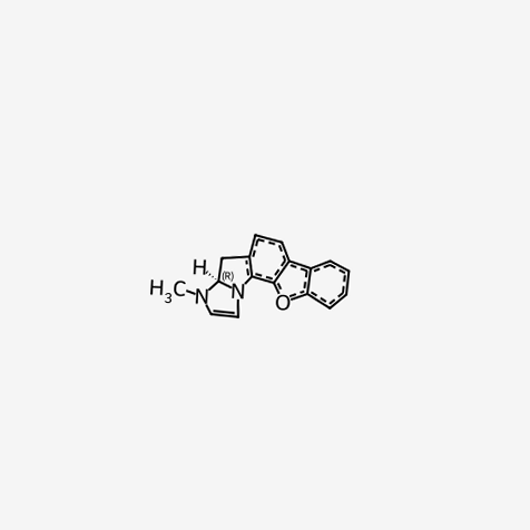 CN1C=CN2c3c(ccc4c3oc3ccccc34)C[C@H]12